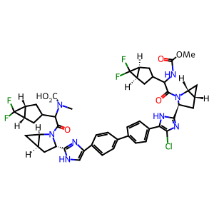 COC(=O)NC(C(=O)N1[C@@H]2C[C@@H]2C[C@H]1c1nc(Cl)c(-c2ccc(-c3ccc(-c4c[nH]c([C@@H]5C[C@H]6C[C@H]6N5C(=O)C(C5C[C@@H]6[C@H](C5)C6(F)F)N(C)C(=O)O)n4)cc3)cc2)[nH]1)C1C[C@@H]2[C@H](C1)C2(F)F